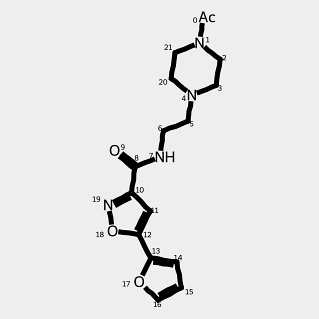 CC(=O)N1CCN(CCNC(=O)c2cc(-c3ccco3)on2)CC1